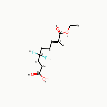 CCOC(=O)/C(C)=C/CCC(F)(F)CCC(=O)O